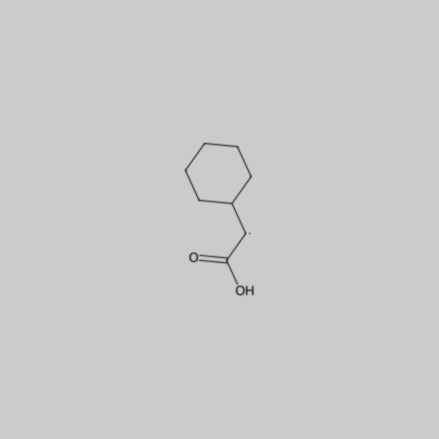 O=C(O)[CH]C1CCCCC1